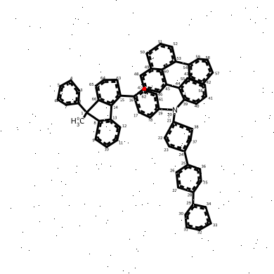 CC1(c2ccccc2)c2ccccc2-c2c(-c3ccc(N(c4ccc(-c5ccc(-c6ccccc6)cc5)cc4)c4ccccc4-c4cccc5cccc(-c6ccccc6)c45)cc3)cccc21